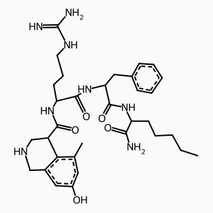 CCCCCC(NC(=O)C(Cc1ccccc1)NC(=O)C(CCCNC(=N)N)NC(=O)C1CNCc2cc(O)cc(C)c21)C(N)=O